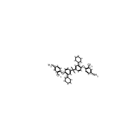 CC(C)(c1ccc(Oc2ccc(N)cc2C(F)(F)F)c(C2CCCCC2)c1)c1ccc(Oc2ccc(N)cc2C(F)(F)F)c(C2CCCCC2)c1